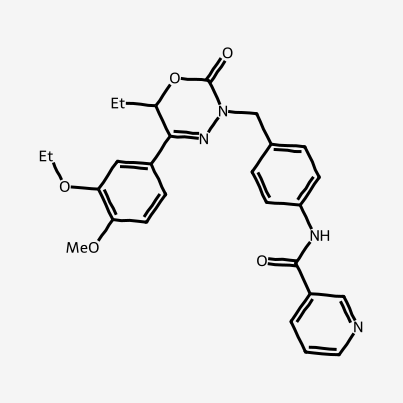 CCOc1cc(C2=NN(Cc3ccc(NC(=O)c4cccnc4)cc3)C(=O)OC2CC)ccc1OC